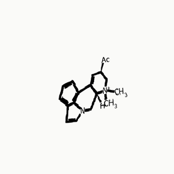 CC(=O)[C@@H]1C=C2c3cccc4ccn(c34)C[C@H]2[N+](C)(C)C1